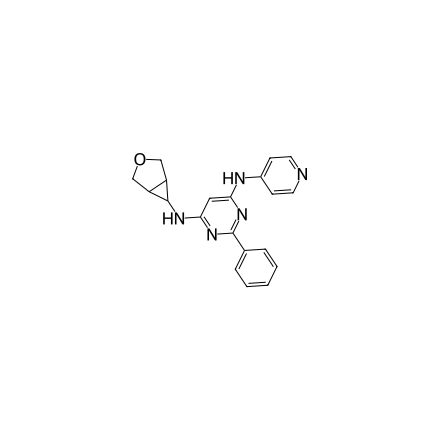 c1ccc(-c2nc(Nc3ccncc3)cc(NC3C4COCC43)n2)cc1